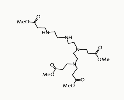 COC(=O)CCNCCNCCN(CCC(=O)OC)CCN(CCC(=O)OC)CCC(=O)OC